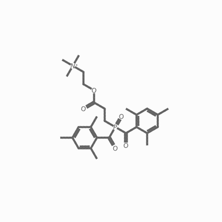 Cc1cc(C)c(C(=O)P(=O)(CCC(=O)OCC[N+](C)(C)C)C(=O)c2c(C)cc(C)cc2C)c(C)c1